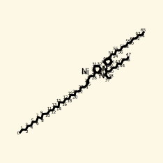 CCCCCCCCCCCCCCCCCCCCCCCCCC#CCCc1ccccc1N=C(CC)C(CCCCCCCC)=Nc1ccc(CCCCCCCCCCCCC)cc1.[Ni]